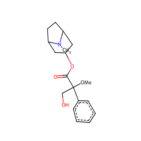 COC(CO)(C(=O)OC1CC2CCC(C1)N2C)c1ccccc1